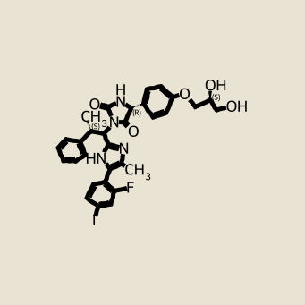 Cc1nc(C([C@@H](C)c2ccccc2)N2C(=O)N[C@H](c3ccc(OC[C@@H](O)CO)cc3)C2=O)[nH]c1-c1ccc(I)cc1F